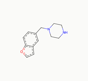 c1cc2cc(CN3CCNCC3)ccc2o1